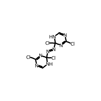 ClC1=NC(Cl)(N=NC2(Cl)N=C(Cl)N=CN2)NC=N1